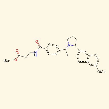 COc1ccc2cc([C@H]3CCCN3C(C)c3ccc(C(=O)NCCC(=O)OC(C)(C)C)cc3)ccc2c1